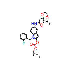 CCOC(=O)Oc1cc2cc(NC(=O)CC3(C)OCCO3)ccc2n1Cc1ccccc1F